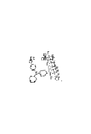 CCOc1ccc([S+](c2ccccc2)c2ccccc2)cc1.O=S(=O)([O-])C(F)(F)C(F)(F)C(F)(F)C(F)(F)C(F)(F)C(F)(F)C(F)(F)C(F)(F)F